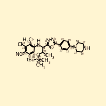 Cc1c(NC(c2nnc(-c3ccc(N4CCNCC4)cc3)o2)C(C)O[Si](C)(C)C(C)(C)C)ccc(C#N)c1Cl